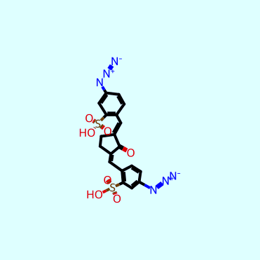 [N-]=[N+]=Nc1ccc(C=C2CCC(=Cc3ccc(N=[N+]=[N-])cc3S(=O)(=O)O)C2=O)c(S(=O)(=O)O)c1